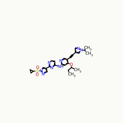 CCC(C)Oc1cc(Nc2ccnc(-c3cnn(S(=O)(=O)C4CC4)c3)n2)ncc1C#Cc1cnn(C(C)C)c1